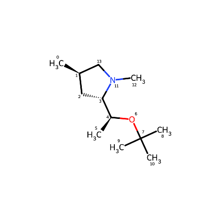 C[C@@H]1C[C@@H]([C@H](C)OC(C)(C)C)N(C)C1